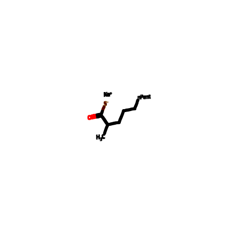 CCCCCCCCC(C)C(=O)[S-].[Na+]